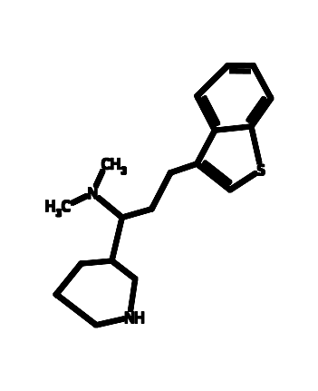 CN(C)C(CCc1csc2ccccc12)C1CCCNC1